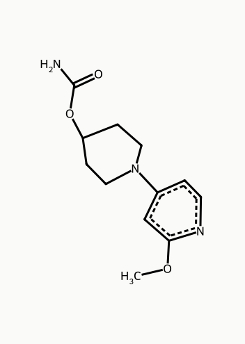 COc1cc(N2CCC(OC(N)=O)CC2)ccn1